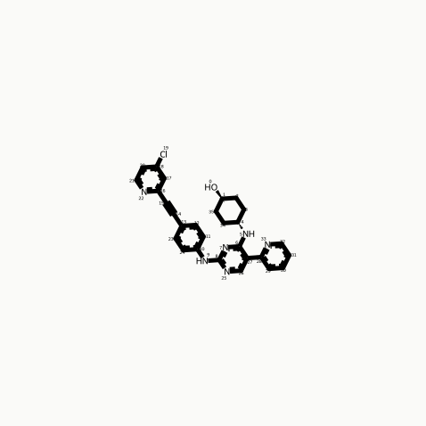 O[C@H]1CC[C@H](Nc2nc(Nc3ccc(C#Cc4cc(Cl)ccn4)cc3)ncc2-c2ccccn2)CC1